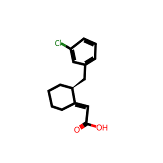 O=C(O)/C=C1\CCCC[C@H]1Cc1cccc(Cl)c1